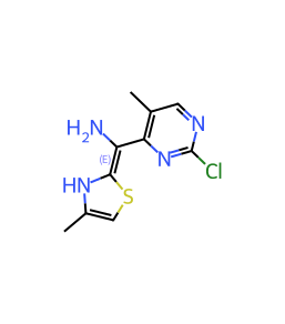 CC1=CS/C(=C(/N)c2nc(Cl)ncc2C)N1